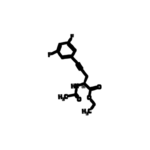 CCOC(=O)[C@H](CC#Cc1cc(F)cc(F)c1)NC(C)=O